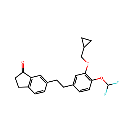 O=C1CCc2ccc(CCc3ccc(OC(F)F)c(OCC4CC4)c3)cc21